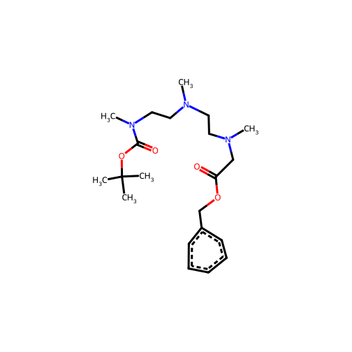 CN(CCN(C)CC(=O)OCc1ccccc1)CCN(C)C(=O)OC(C)(C)C